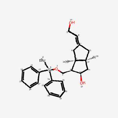 CC(C)(C)[Si](OC[C@H]1[C@H]2C/C(=C\CO)C[C@H]2C[C@H]1O)(c1ccccc1)c1ccccc1